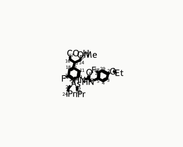 CCOc1ccc(NC(=O)Nc2cc(C(COC)CC(=O)O)cc(F)c2[As](CC(C)C)CC(C)C)c(F)c1